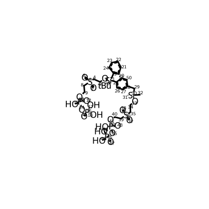 CC(C)(C)[Si](OCCS(=O)(=O)CCOP(=O)(O)OP(=O)(O)O)(c1ccccc1)c1ccc(C[Si](C)(C)OCCS(=O)(=O)CCOP(=O)(O)OP(=O)(O)O)cc1